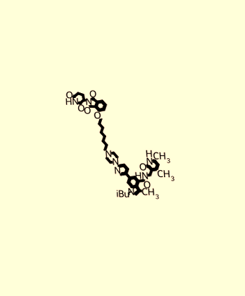 CC[C@H](C)n1cc(C)c2c(C(=O)NCc3c(C)cc(C)[nH]c3=O)cc(-c3ccc(N4CCN(CCCCCCCCOc5cccc6c5C(=O)N(C5CCC(=O)NC5=O)C6=O)CC4)nc3)cc21